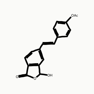 CC(=O)Oc1ccc(C=Cc2ccc3c(c2)C(O)OC3=O)cc1